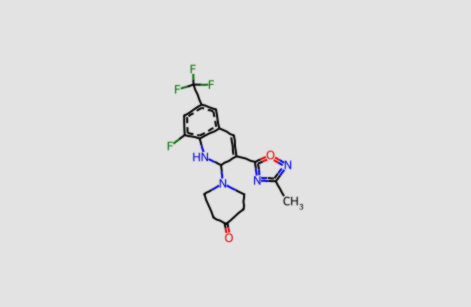 Cc1noc(C2=Cc3cc(C(F)(F)F)cc(F)c3NC2N2CCC(=O)CC2)n1